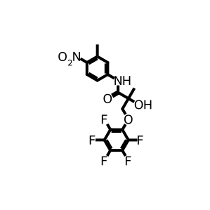 Cc1cc(NC(=O)C(C)(O)COc2c(F)c(F)c(F)c(F)c2F)ccc1[N+](=O)[O-]